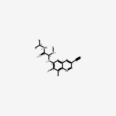 C#Cc1cnc2c(C)c(F)c(OC(SC)C(=O)NC(C)C)cc2c1